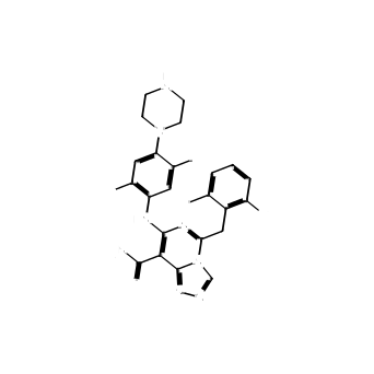 NC(=O)c1c(Nc2cc(F)c(N3CCNCC3)cc2F)nc(Cc2c(Cl)cccc2Cl)n2cnnc12